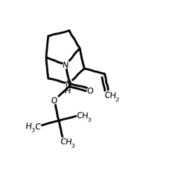 C=CC1NCC2CCC1N2C(=O)OC(C)(C)C